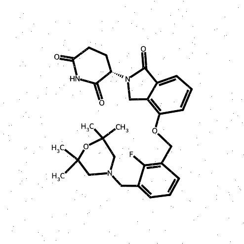 CC1(C)CN(Cc2cccc(COc3cccc4c3CN([C@H]3CCC(=O)NC3=O)C4=O)c2F)CC(C)(C)O1